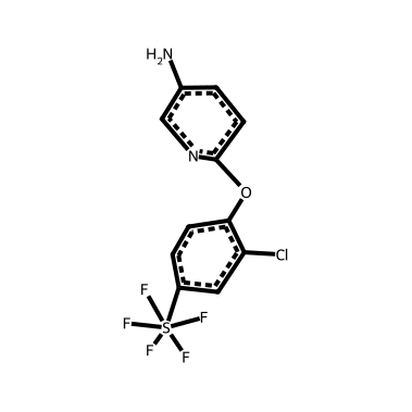 Nc1ccc(Oc2ccc(S(F)(F)(F)(F)F)cc2Cl)nc1